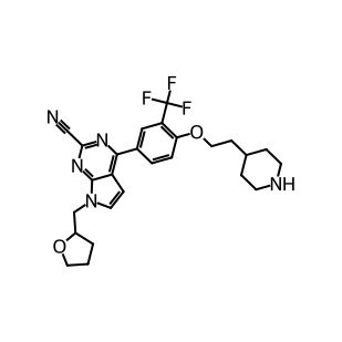 N#Cc1nc(-c2ccc(OCCC3CCNCC3)c(C(F)(F)F)c2)c2ccn(CC3CCCO3)c2n1